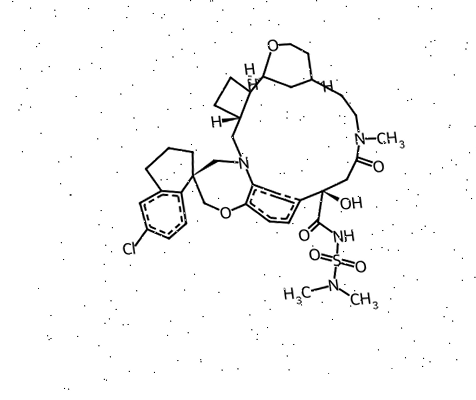 CN1CC[C@@H]2CCO[C@@H](C2)[C@@H]2CC[C@H]2CN2C[C@@]3(CCCc4cc(Cl)ccc43)COc3ccc(cc32)[C@@](O)(C(=O)NS(=O)(=O)N(C)C)CC1=O